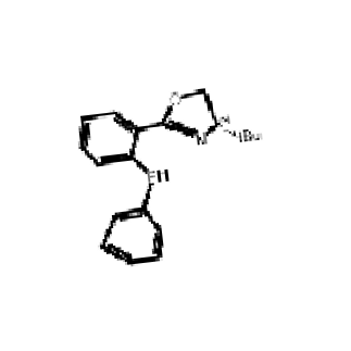 CC(C)(C)[C@H]1COC(c2ccccc2Pc2ccccc2)=N1